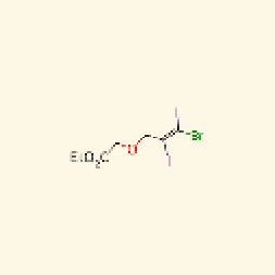 CCOC(=O)COCC(I)=C(Br)I